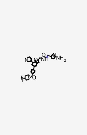 Nc1ccc(/C=C/C(=O)NCc2cc3cc(-c4ccc(C(=O)N5CCC(F)(F)CC5)cc4)cc(-c4cccnc4)c3o2)cn1